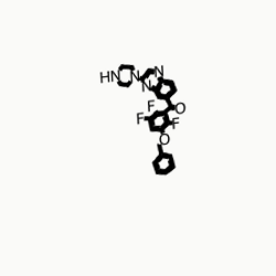 O=C(c1ccc2ncc(N3CCNCC3)nc2c1)c1c(F)c(F)cc(OCc2ccccc2)c1F